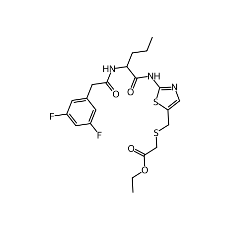 CCCC(NC(=O)Cc1cc(F)cc(F)c1)C(=O)Nc1ncc(CSCC(=O)OCC)s1